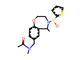 CC(=O)N(C)Cc1ccc2c(c1)C(C)N([S+]([O-])c1cccs1)CCO2